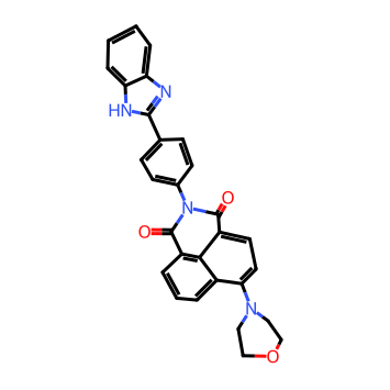 O=C1c2cccc3c(N4CCOCC4)ccc(c23)C(=O)N1c1ccc(-c2nc3ccccc3[nH]2)cc1